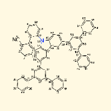 N#Cc1ccccc1-c1ccccc1-n1c2ccc(-c3cc(-c4ccccc4)cc(-c4ccccc4)c3)cc2c2cc(-c3cc(-c4ccccc4)cc(-c4ccccc4)c3)ccc21